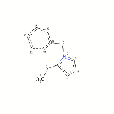 O=C(O)Cc1cccn1Cc1ccccc1